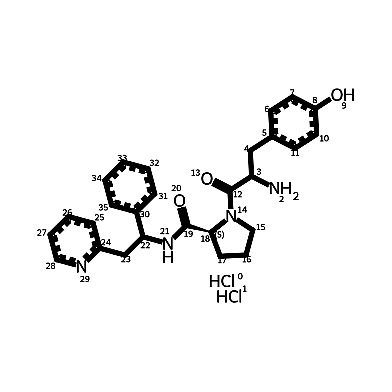 Cl.Cl.NC(Cc1ccc(O)cc1)C(=O)N1CCC[C@H]1C(=O)NC(Cc1ccccn1)c1ccccc1